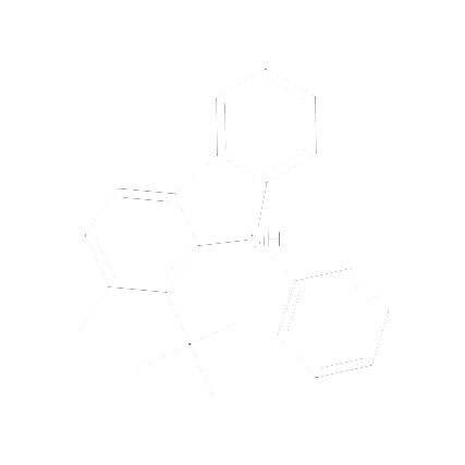 Cc1ccc2c(c1C(C)(C)C)[SiH](c1ccccc1)c1ccccc1-2